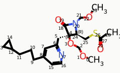 COCO[C@@]1(Cc2cc(CCCC3CC3)ccn2)C(=O)N(COC)[C@H]1CSC(C)=O